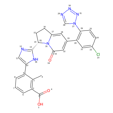 Cc1c(C(=O)O)cccc1-c1cnc([C@@H]2CCc3cc(-c4cc(Cl)ccc4-n4cnnn4)cc(=O)n32)[nH]1